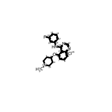 CN1CCC(Oc2cccc3ncnc(Nc4cccc(F)c4)c23)CC1.Cl